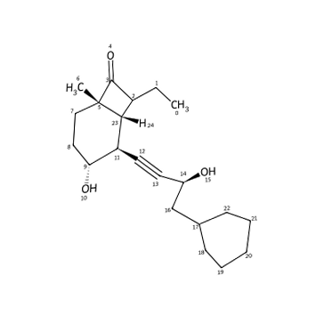 CCC1C(=O)[C@@]2(C)CC[C@@H](O)[C@H](C#C[C@@H](O)CC3CCCCC3)[C@@H]12